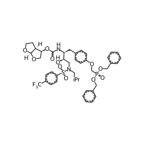 CC(C)CN(C[C@@H](O)[C@H](Cc1ccc(OCP(=O)(OCc2ccccc2)OCc2ccccc2)cc1)NC(=O)O[C@H]1CO[C@H]2OCC[C@H]21)S(=O)(=O)c1ccc(C(F)(F)F)cc1